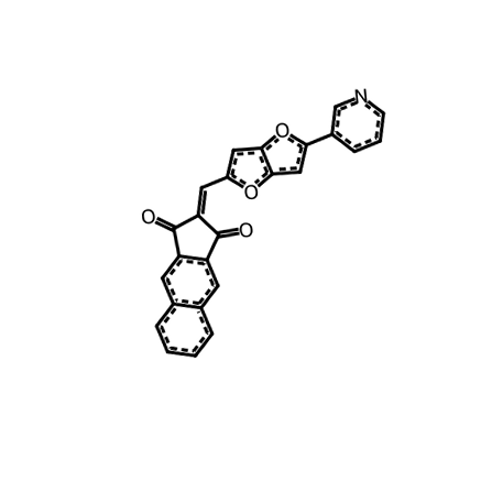 O=C1C(=Cc2cc3oc(-c4cccnc4)cc3o2)C(=O)c2cc3ccccc3cc21